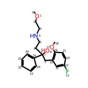 COCCNCCC(O)(Cc1cc(F)ccc1OC)c1ccccc1